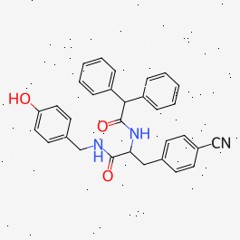 N#Cc1ccc(CC(NC(=O)C(c2ccccc2)c2ccccc2)C(=O)NCc2ccc(O)cc2)cc1